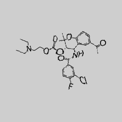 CCN(CC)CCOC(=O)O[C@H]1[C@H](NC(=O)c2ccc(F)c(Cl)c2)c2cc(C(C)=O)ccc2OC1(C)C